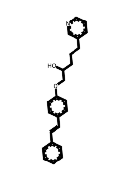 OC(CCCc1cccnc1)COc1ccc(/C=C/c2ccccc2)cc1